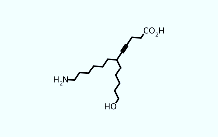 NCCCCCCC(C#CCCC(=O)O)CCCCCO